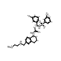 COCCNCc1ccc2c(c1)CCC[C@H]2NC(=O)C[C@@H](NS(=O)(=O)c1cccc(C(F)(F)F)c1)c1cccc(F)c1